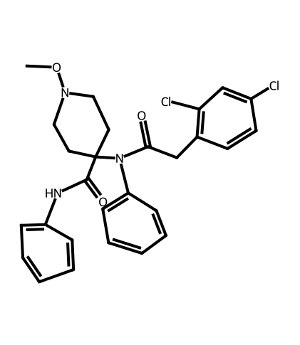 CON1CCC(C(=O)Nc2ccccc2)(N(C(=O)Cc2ccc(Cl)cc2Cl)c2ccccc2)CC1